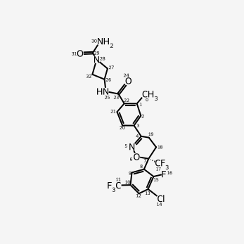 Cc1cc(C2=NO[C@@](c3cc(C(F)(F)F)cc(Cl)c3F)(C(F)(F)F)CC2)ccc1C(=O)NC1CN(C(N)=O)C1